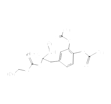 CCC(C)C(=O)Oc1ccc(C[C@](NC(C)C)(OC(=O)OCC(C)(C)C)C(=O)O)cc1OC(=O)C(C)CC